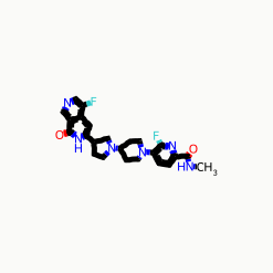 CNC(=O)c1ccc(N2CCC(N3CCC(c4cc5c(F)cncc5c(=O)[nH]4)C3)CC2)c(F)n1